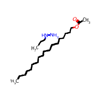 CCCCCCCCCCCCCCCCCCOC(C)=O.CCCNN